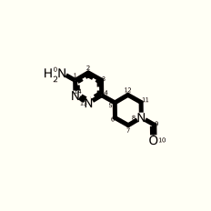 Nc1ccc(C2CCN(C=O)CC2)nn1